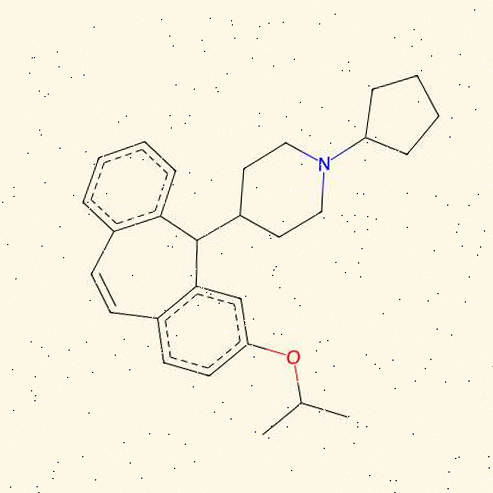 CC(C)Oc1ccc2c(c1)C(C1CCN(C3CCCC3)CC1)c1ccccc1C=C2